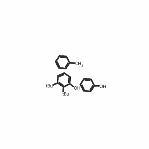 CC(C)(C)c1cccc(O)c1C(C)(C)C.Cc1ccccc1.Oc1ccccc1